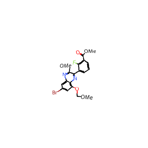 COCOc1cc(Br)cc2nc(OC)c(-c3cccc(C(=O)OC)c3F)nc12